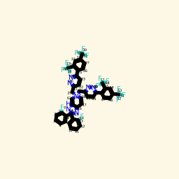 Fc1ccccc1C1(c2ccccc2F)N=C2C=C[N+](Cc3ccc(-c4ccc(C(F)(F)F)cc4C(F)(F)F)nn3)(Cc3ccc(-c4ccc(C(F)(F)F)cc4C(F)(F)F)nn3)C=C2N1